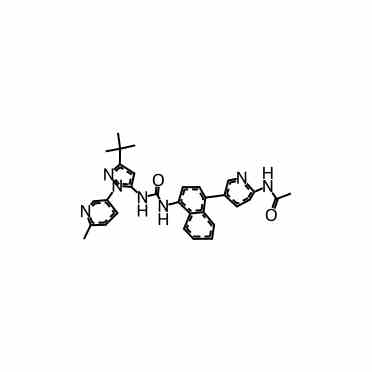 CC(=O)Nc1ccc(-c2ccc(NC(=O)Nc3cc(C(C)(C)C)nn3-c3ccc(C)nc3)c3ccccc23)cn1